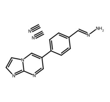 C#N.C#N.NN=Cc1ccc(-c2cnc3nccn3c2)cc1